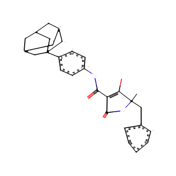 CC1(Cc2ccccc2)NC(=O)C(C(=O)Nc2ccc(C34CC5CC(CC(C5)C3)C4)cc2)=C1O